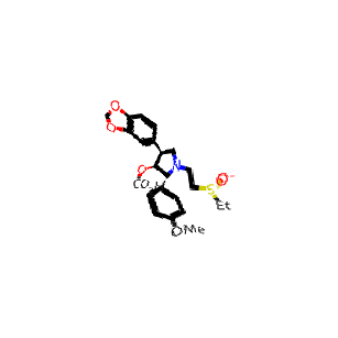 CC[S+]([O-])CCN1C[C@H](c2ccc3c(c2)OCO3)[C@H](OC(=O)O)[C@H]1c1ccc(OC)cc1